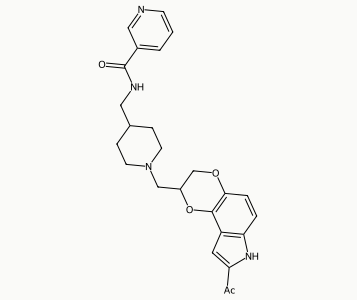 CC(=O)c1cc2c3c(ccc2[nH]1)OCC(CN1CCC(CNC(=O)c2cccnc2)CC1)O3